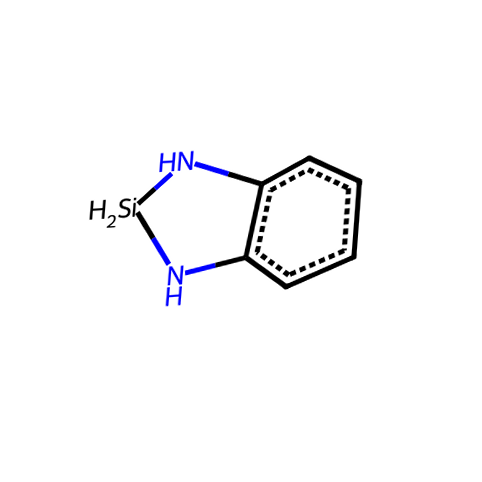 c1ccc2c(c1)N[SiH2]N2